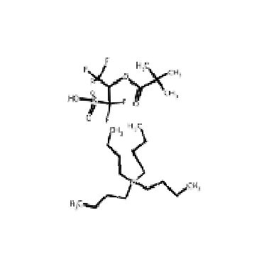 CC(C)(C)C(=O)OC(C(F)(F)F)C(F)(F)S(=O)(=O)O.CCCC[N+](CCCC)(CCCC)CCCC